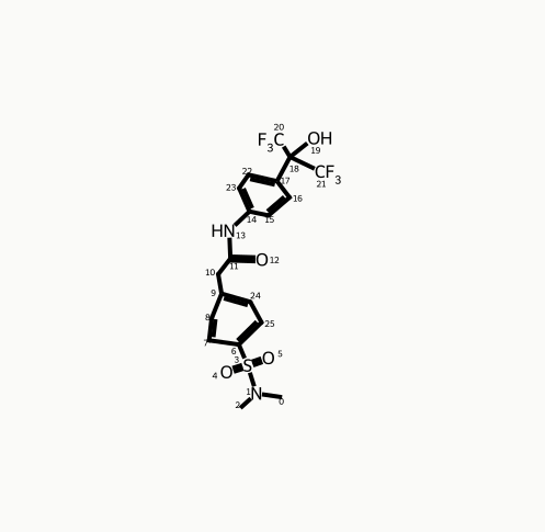 CN(C)S(=O)(=O)c1ccc(CC(=O)Nc2ccc(C(O)(C(F)(F)F)C(F)(F)F)cc2)cc1